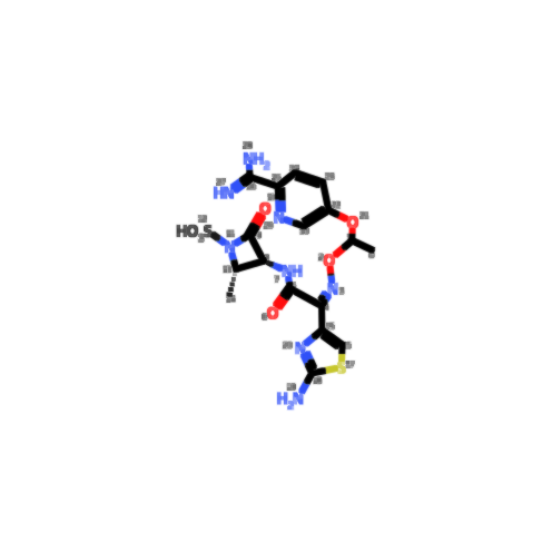 CC(O/N=C(\C(=O)N[C@@H]1C(=O)N(S(=O)(=O)O)[C@H]1C)c1csc(N)n1)Oc1ccc(C(=N)N)nc1